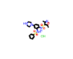 Cc1noc(C)c1S(=O)(=O)Nc1ccc(N2CCNCC2)cc1NS(=O)(=O)c1ccccc1.Cl